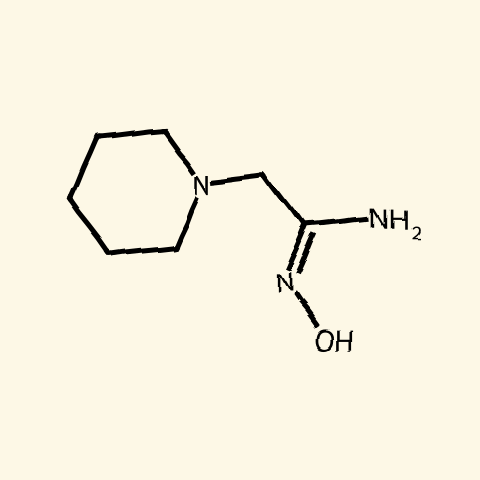 NC(CN1CCCCC1)=NO